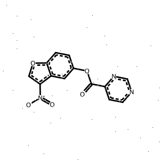 O=C(Oc1ccc2occ([N+](=O)[O-])c2c1)c1ccncn1